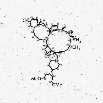 CCO[C@@]1(CN2CCC(N(CCOC)CCOC)CC2)/C=C/C[C@H](C)[C@@H](C)S(=O)(=O)NC(=O)c2ccc3c(c2)N(CCCCC2C=C(Cl)C=CC2(C)CO3)C[C@@H]2CC[C@H]21